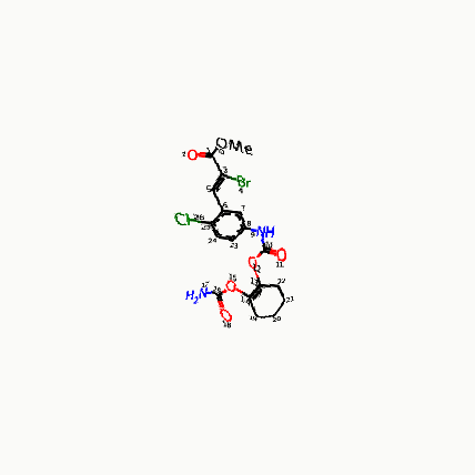 COC(=O)C(Br)=Cc1cc(NC(=O)OC2=C(OC(N)=O)CCCC2)ccc1Cl